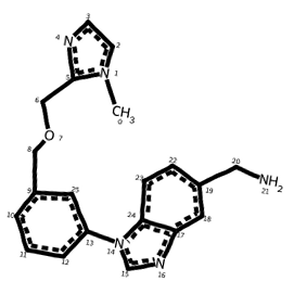 Cn1ccnc1COCc1cccc(-n2cnc3cc(CN)ccc32)c1